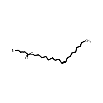 CCCCCCCC/C=C\CCCCCCCCOC(=O)CCCBr